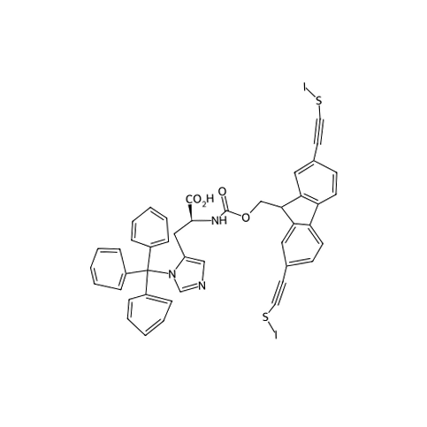 O=C(N[C@@H](Cc1cncn1C(c1ccccc1)(c1ccccc1)c1ccccc1)C(=O)O)OCC1c2cc(C#CSI)ccc2-c2ccc(C#CSI)cc21